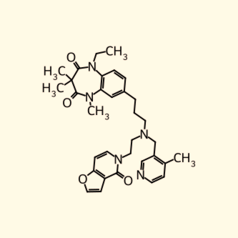 CCN1C(=O)C(C)(C)C(=O)N(C)c2cc(CCCN(CCn3ccc4occc4c3=O)Cc3cnccc3C)ccc21